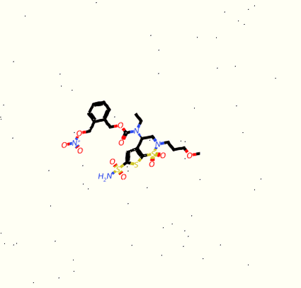 CCN(C(=O)OCc1ccccc1CO[N+](=O)[O-])[C@H]1CN(CCCOC)S(=O)(=O)c2sc(S(N)(=O)=O)cc21